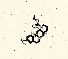 CCOC(=O)N1CCC[C@@H]2CN3CCc4cc(OC)ccc4[C@@H]3C[C@@H]21